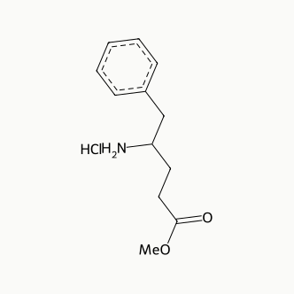 COC(=O)CCC(N)Cc1ccccc1.Cl